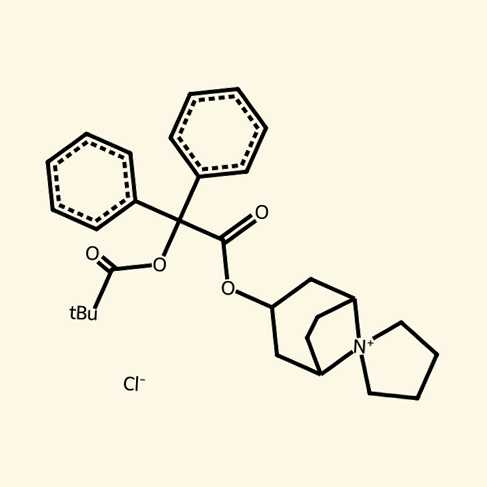 CC(C)(C)C(=O)OC(C(=O)OC1CC2CCC(C1)[N+]21CCCC1)(c1ccccc1)c1ccccc1.[Cl-]